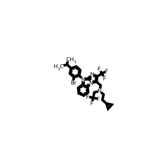 CC(C)c1ccc(-n2c3ccccc3n3c(CN(CCC4CC4)CC(F)(F)F)c(C(F)(F)F)nc23)c(Br)c1